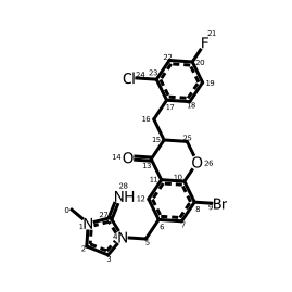 Cn1ccn(Cc2cc(Br)c3c(c2)C(=O)C(Cc2ccc(F)cc2Cl)CO3)c1=N